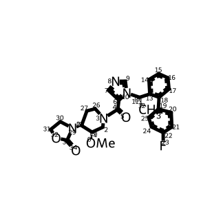 CO[C@H]1CN(C(=O)c2cncn2[C@@H](C)c2ccccc2-c2ccc(F)cc2)CC[C@@H]1N1CCOC1=O